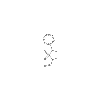 O=CC1CCN(c2ccccc2)S1(=O)=O